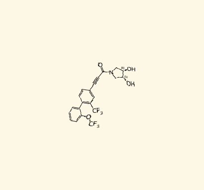 O=C(C#Cc1ccc(-c2ccccc2OC(F)(F)F)c(C(F)(F)F)c1)N1C[C@@H](O)[C@@H](O)C1